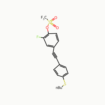 CCCCSc1ccc(C#Cc2ccc(OS(=O)(=O)C(F)(F)F)c(F)c2)cc1